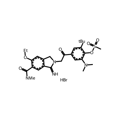 Br.CCOc1cc2c(cc1C(=O)NC)C(=N)N(CC(=O)c1cc(N(C)C)c(OS(C)(=O)=O)c(C(C)(C)C)c1)C2